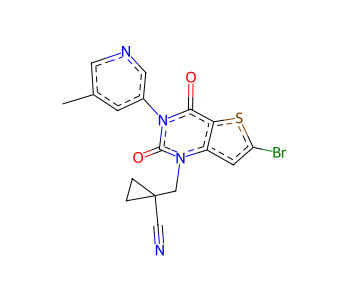 Cc1cncc(-n2c(=O)c3sc(Br)cc3n(CC3(C#N)CC3)c2=O)c1